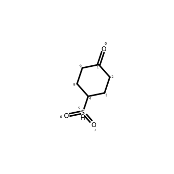 O=C1CCC([SH](=O)=O)CC1